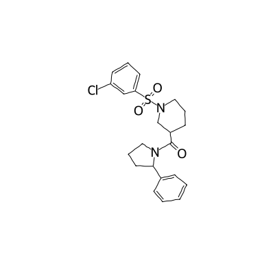 O=C(C1CCCN(S(=O)(=O)c2cccc(Cl)c2)C1)N1CCCC1c1ccccc1